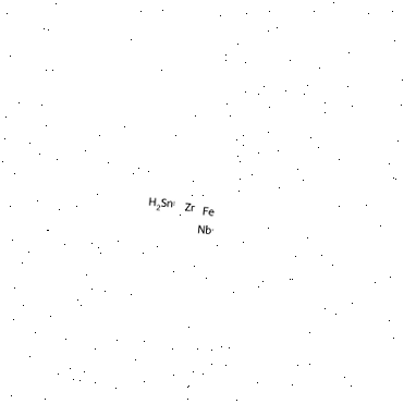 [Fe].[Nb].[SnH2].[Zr]